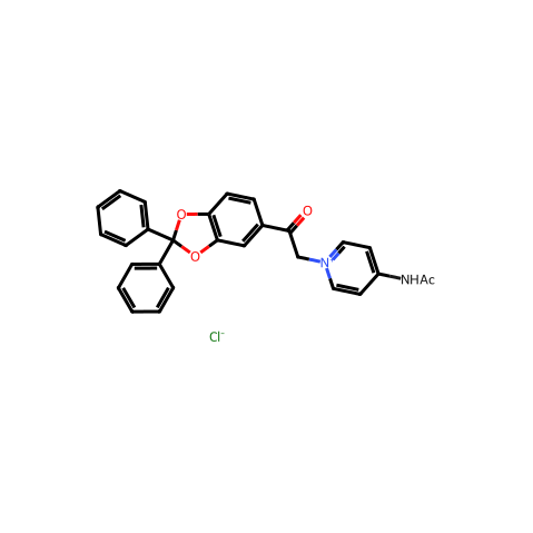 CC(=O)Nc1cc[n+](CC(=O)c2ccc3c(c2)OC(c2ccccc2)(c2ccccc2)O3)cc1.[Cl-]